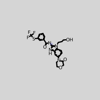 O=C(/N=c1\[nH]c2cc(N3CCOCC3=O)ccc2n1CCCO)c1cccc(SC(F)(F)F)c1